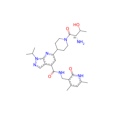 Cc1cc(C)c(CNC(=O)c2cc(C3CCN(C(=O)[C@@H](N)C(C)O)CC3)nc3c2cnn3C(C)C)c(=O)[nH]1